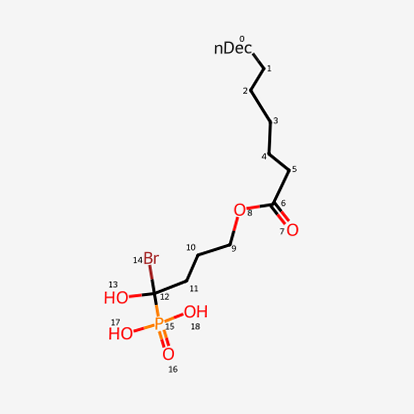 CCCCCCCCCCCCCCCC(=O)OCCCC(O)(Br)P(=O)(O)O